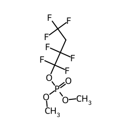 COP(=O)(OC)OC(F)(F)C(F)(F)CC(F)(F)F